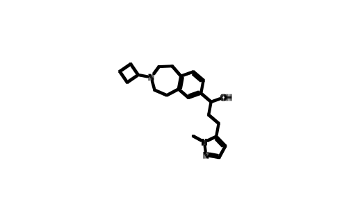 Cn1nccc1CCC(O)c1ccc2c(c1)CCN(C1CCC1)CC2